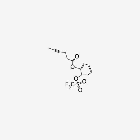 CC#CCCC(=O)Oc1ccccc1OS(=O)(=O)C(F)(F)F